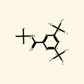 CC(C)(C)NC(=O)c1cc(C(F)(F)F)cc(C(F)(F)F)c1